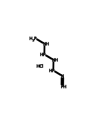 Cl.P=NPNPNP